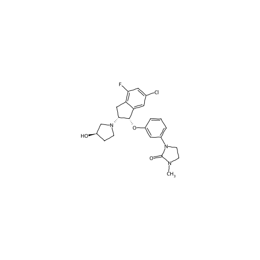 CN1CCN(c2cccc(O[C@H]3c4cc(Cl)cc(F)c4C[C@H]3N3CC[C@@H](O)C3)c2)C1=O